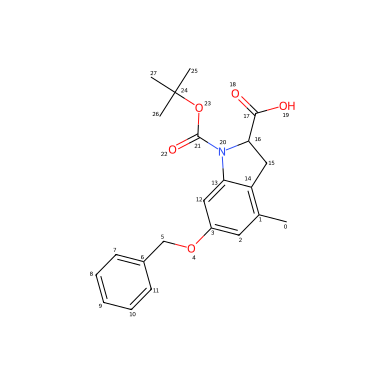 Cc1cc(OCc2ccccc2)cc2c1CC(C(=O)O)N2C(=O)OC(C)(C)C